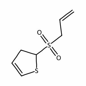 C=CCS(=O)(=O)C1CC=CS1